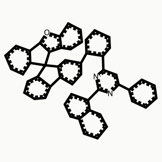 c1ccc(-c2cc(-c3ccccc3-c3ccc4c(c3)C3(c5ccccc5-4)c4ccccc4-c4oc5ccccc5c43)nc(-c3cccc4ccccc34)n2)cc1